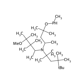 COC(C)(C)C(C)(C)C(C)N(C(C)CC(C)(C)OPC)C(C)(C)CC(C)(C)C(C)(C)C